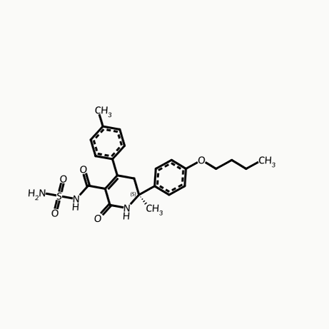 CCCCOc1ccc([C@]2(C)CC(c3ccc(C)cc3)=C(C(=O)NS(N)(=O)=O)C(=O)N2)cc1